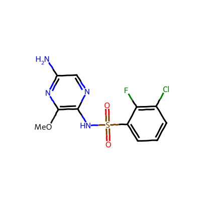 COc1nc(N)cnc1NS(=O)(=O)c1cccc(Cl)c1F